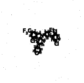 CC[C@@H]1C[C@H](N(Cc2cc(C(F)(F)F)cc(C(F)(F)F)c2)c2ncc(N3CCOCC3)cn2)CN1c1nc(Cl)ncc1Cl